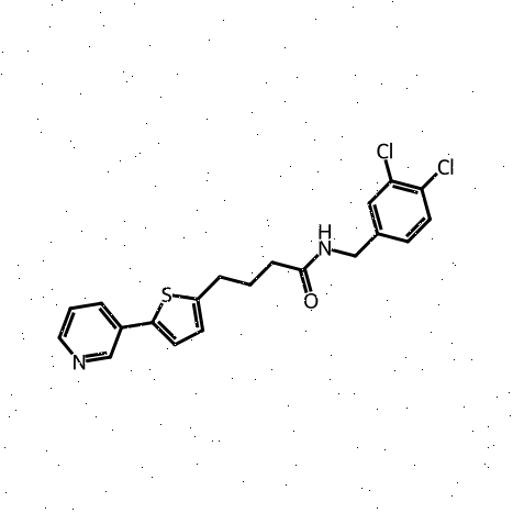 O=C(CCCc1ccc(-c2cccnc2)s1)NCc1ccc(Cl)c(Cl)c1